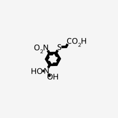 O=C(O)CSc1ccc(N(O)O)cc1[N+](=O)[O-]